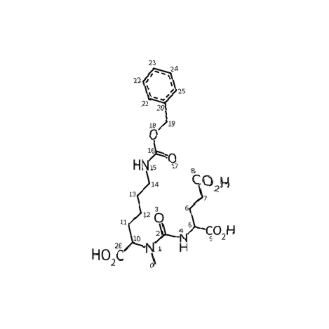 CN(C(=O)NC(CCC(=O)O)C(=O)O)C(CCCCNC(=O)OCc1ccccc1)C(=O)O